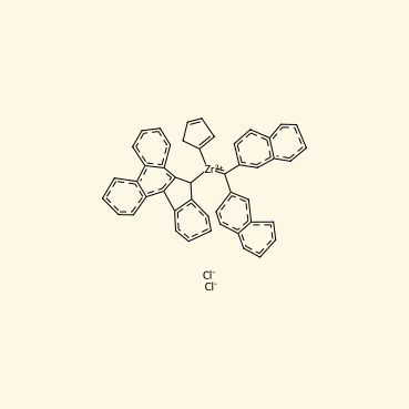 C1=CC[C]([Zr+2](=[C](c2ccc3ccccc3c2)c2ccc3ccccc3c2)[CH]2c3ccccc3-c3c2c2ccccc2c2ccccc32)=C1.[Cl-].[Cl-]